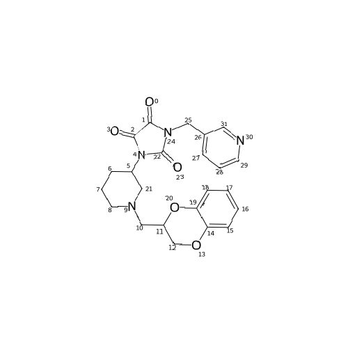 O=C1C(=O)N(C2CCCN(CC3COc4ccccc4O3)C2)C(=O)N1Cc1cccnc1